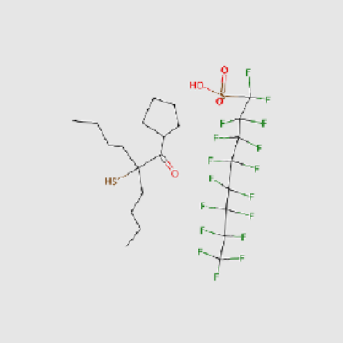 CCCCC(S)(CCCC)C(=O)C1CCCC1.O=S(=O)(O)C(F)(F)C(F)(F)C(F)(F)C(F)(F)C(F)(F)C(F)(F)C(F)(F)C(F)(F)F